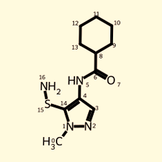 Cn1ncc(NC(=O)C2CCCCC2)c1SN